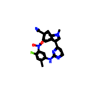 Cc1cc(F)c([N+](=O)[O-])cc1Nc1nccc(-c2cn(C)c3cc(C#N)ccc23)n1